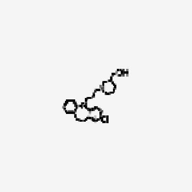 Cl.OCC1CCCN(CCCN2c3ccccc3CCc3ccccc32)C1